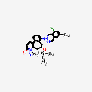 CC(C)(C)c1cc(F)c2c(c1)C=NN(c1cccc3c1CC(O[Si](C)(C)C(C)(C)C)Cc1[nH]c(=O)ccc1-3)C2